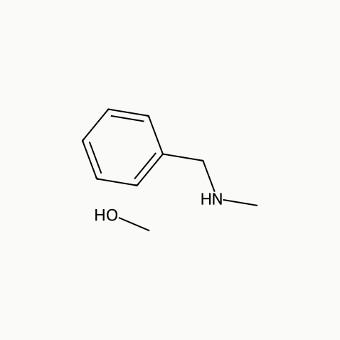 CNCc1ccccc1.CO